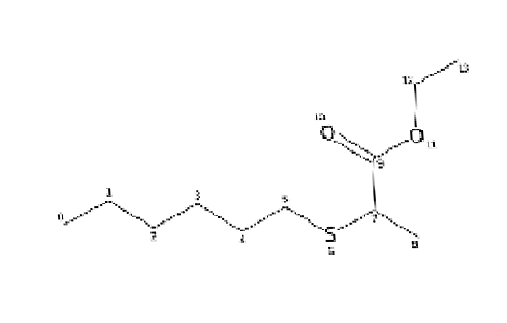 CCCCCCSC(C)C(=O)OCC